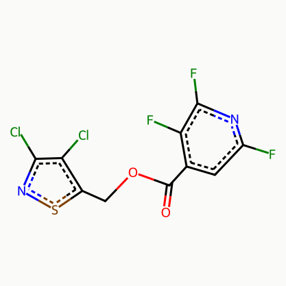 O=C(OCc1snc(Cl)c1Cl)c1cc(F)nc(F)c1F